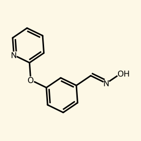 ON=Cc1cccc(Oc2ccccn2)c1